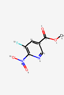 COC(=O)c1cnc([N+](=O)[O-])c(F)c1